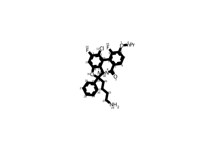 CCCOc1ccc(C(=O)NC)c(-c2c(Cl)c(F)cc3c2CC(CCCCN)(c2ccccc2)O3)c1F